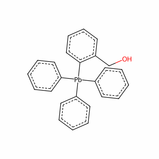 OCc1cccc[c]1[Pb]([c]1ccccc1)([c]1ccccc1)[c]1ccccc1